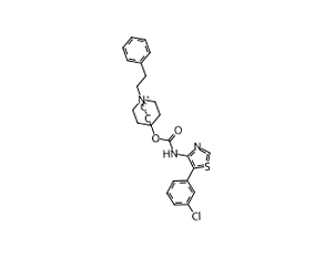 O=C(Nc1ncsc1-c1cccc(Cl)c1)OC12CC[N+](CCc3ccccc3)(CC1)CC2